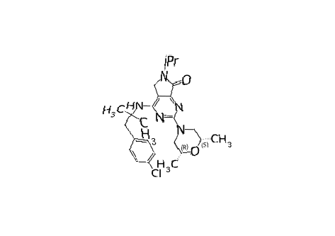 CC(C)N1Cc2c(NC(C)(C)Cc3ccc(Cl)cc3)nc(N3C[C@@H](C)O[C@@H](C)C3)nc2C1=O